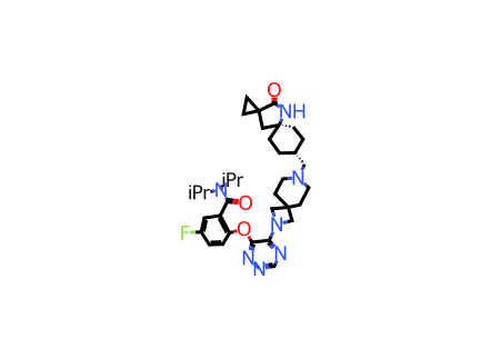 CC(C)N(C(=O)c1cc(F)ccc1Oc1nncnc1N1CC2(CCN(C[C@H]3CC[C@]4(CC3)CC3(CC3)C(=O)N4)CC2)C1)C(C)C